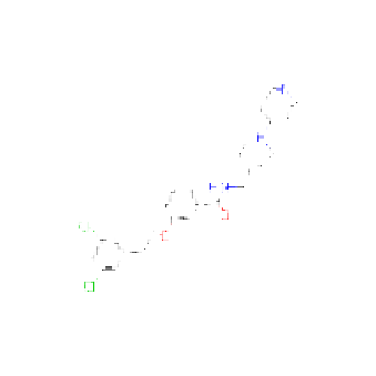 O=C(NCC1CCN(c2ccncc2)CC1)c1cccc(OCCc2cc(Cl)cc(Cl)c2)c1